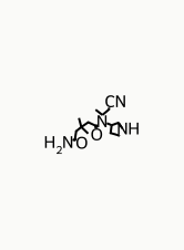 CC(CC#N)N(C(=O)CC(C)(C)CC(N)=O)C1CCNC1